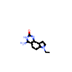 CCn1ccc2c3nc(=O)[nH]c(N)c3ccc21